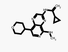 C=C(Nc1cnc2c(C3CCOCC3)cnc(NC)c2n1)C1CC1